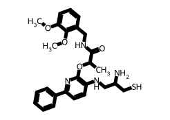 COc1cccc(CNC(=O)C(C)Oc2nc(-c3ccccc3)ccc2NCC(N)CS)c1OC